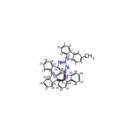 Cc1ccc2c(c1)c1ccccc1n2-c1nc(-c2ccccc2-n2c3ccccc3c3ccccc32)cc(-n2c3ccccc3c3ccccc32)n1